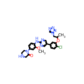 COc1cc(N2CCNCC2=O)ccc1Nc1ncc(-c2ccc(Cl)c(OC(C)Cn3cnnn3)c2)cn1